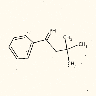 CC(C)(C)CC(=P)c1ccccc1